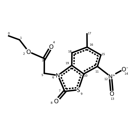 CCOC(=O)Cn1c(=O)sc2c([N+](=O)[O-])cc(C)cc21